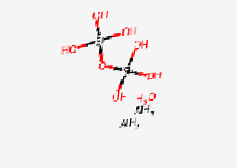 O.O[Si](O)(O)O[Si](O)(O)O.[AlH3].[AlH3]